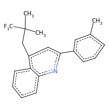 Cc1cccc(-c2cc(CC(C)(C)C(F)(F)F)c3ccccc3n2)c1